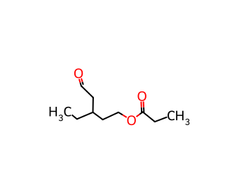 CCC(=O)OCCC(CC)CC=O